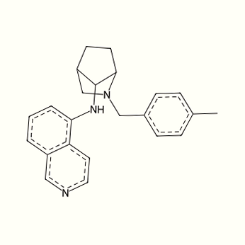 Cc1ccc(CN2CC3CCC2C3Nc2cccc3cnccc23)cc1